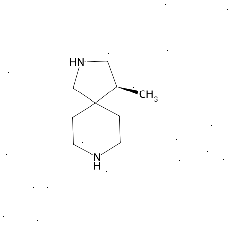 C[C@@H]1CNCC12CCNCC2